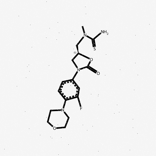 CN(C[C@@H]1CN(c2ccc(N3CCOCC3)c(F)c2)C(=O)O1)C(N)=S